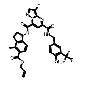 C=CCOC(=O)c1ccc2c(c1C)CC[C@@H]2NC(=O)c1cc(C(=O)NCc2ccc(O)c(C(F)(F)F)c2)nc2c(F)cnn12